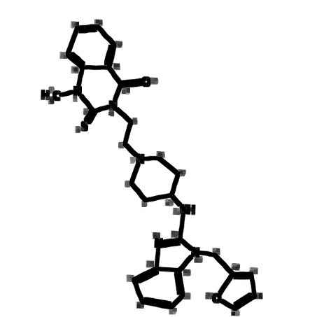 Cn1c(=S)n(CCN2CCC(Nc3nc4ccccc4n3Cc3ccco3)CC2)c(=O)c2ccccc21